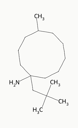 CC1CCCCCC(N)(CC(C)(C)C)CCC1